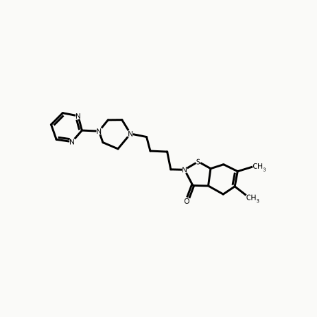 CC1=C(C)CC2C(=O)N(CCCCN3CCN(c4ncccn4)CC3)SC2C1